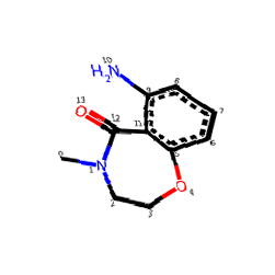 CN1CCOc2cccc(N)c2C1=O